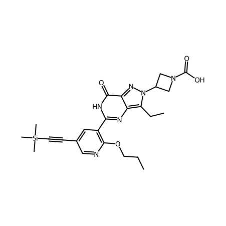 CCCOc1ncc(C#C[Si](C)(C)C)cc1-c1nc2c(CC)n(C3CN(C(=O)O)C3)nc2c(=O)[nH]1